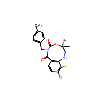 COc1ccc(CN2C(=O)OC(C)(C(C)C)CNc3c(ccc(Cl)c3F)C2=O)cc1